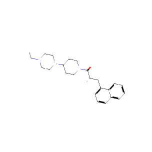 CCOC(=O)CN1CCN(C2CCN(C(=O)[C@H](N)Cc3cccc4ccccc34)CC2)CC1